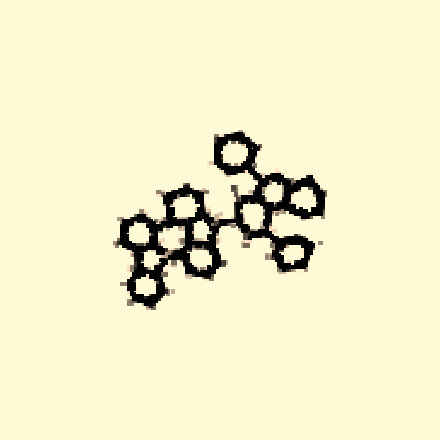 c1ccc(-c2cc3ccccc3c3c(-c4ccccc4)nc(-n4c5cccc6c7cccc8c9ccccc9n(c9cccc4c9c65)c78)nc23)cc1